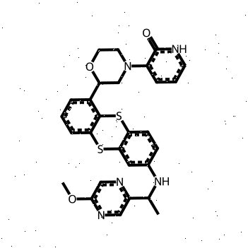 COc1cnc(C(C)Nc2ccc3c(c2)Sc2cccc(C4CN(c5ccc[nH]c5=O)CCO4)c2S3)cn1